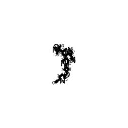 C#Cc1ccc(OC2CN(c3ccc(-c4cc(-c5c(C)noc5C)cn5ncc(C#N)c45)cn3)C2)cn1